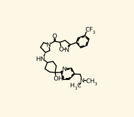 CN(C)Cc1ccc(C2(O)CCC(N[C@H]3CCN(C(=O)C4CC(c5cccc(C(F)(F)F)c5)=NO4)C3)CC2)nc1